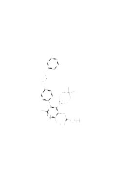 Cc1nc(C)c(-c2ccc(OCCc3ccccc3)cc2)c(N2CCC(C)(C)CC2)c1CC(=O)O